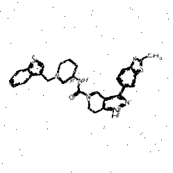 Cc1nc2ccc(-c3n[nH]c4c3CN(C(=O)N[C@@H]3CCCN(Cc5csc6ccccc56)C3)CC4)cc2s1